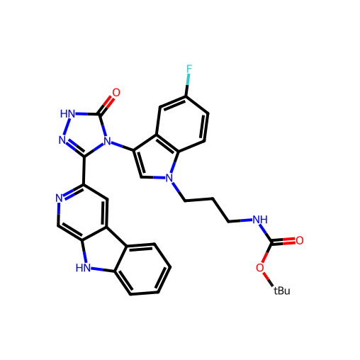 CC(C)(C)OC(=O)NCCCn1cc(-n2c(-c3cc4c(cn3)[nH]c3ccccc34)n[nH]c2=O)c2cc(F)ccc21